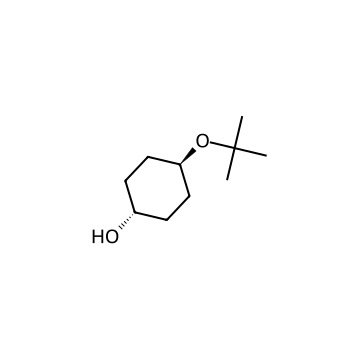 CC(C)(C)O[C@H]1CC[C@H](O)CC1